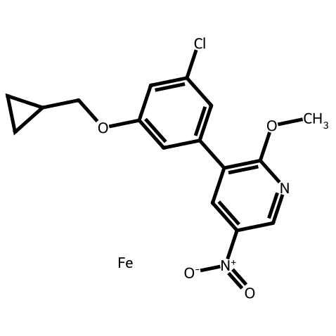 COc1ncc([N+](=O)[O-])cc1-c1cc(Cl)cc(OCC2CC2)c1.[Fe]